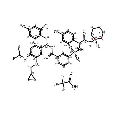 O=C(O)C(F)(F)F.O=C(O[C@@H](Cc1c(Cl)c[n+]([O-])cc1Cl)c1ccc(OC(F)F)c(OCC2CC2)c1)c1cccc(S(=O)(=O)NC(C(=O)O[C@H]2CN3CCC2CC3)c2ccc(Cl)cc2)c1